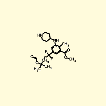 CC(C)(C)OC=O.COC(=O)c1cc(C(F)(F)F)cc(NC2CCNCC2)c1C